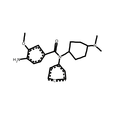 COc1cc(C(=O)N(c2ccccc2)C2CCC(N(C)C)CC2)ccc1N